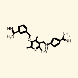 CCCc1nc(C)c(OCc2cccc(C(=N)N)c2)c(C)c1CNc1ccc(C(=N)N)cc1